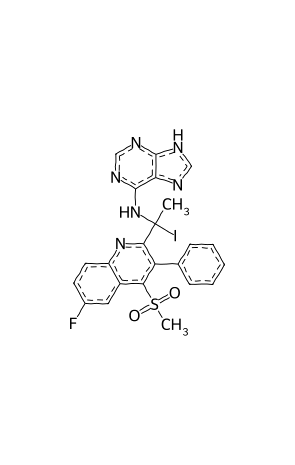 CC(I)(Nc1ncnc2[nH]cnc12)c1nc2ccc(F)cc2c(S(C)(=O)=O)c1-c1ccccc1